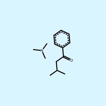 CC(C)CC(=O)c1ccccc1.CN(C)C